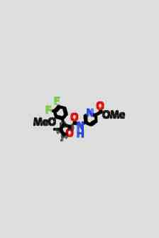 COC(=O)c1ccc(NC(=O)[C@@H]2O[C@H](C)[C@@H](C)[C@H]2c2ccc(F)c(F)c2OC)cn1